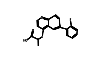 CC(Sc1ccnc2ccc(-c3ccccc3F)cc12)C(=O)O